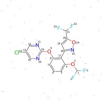 FC(F)Oc1cccc(Oc2ncc(Cl)cn2)c1-c1cc(C(F)F)on1